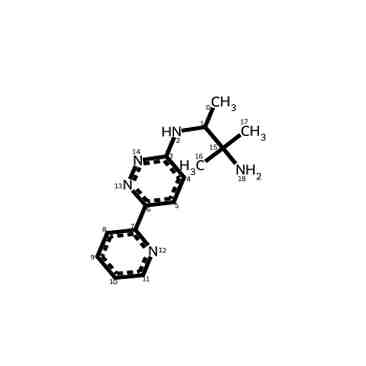 CC(Nc1ccc(-c2ccccn2)nn1)C(C)(C)N